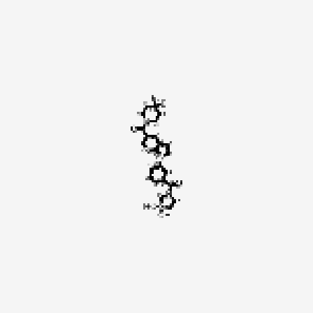 O=C(c1cnc2c(ccn2-c2cccc(C(=O)N3CCS(O)(O)C3)c2)c1)N1CCC(F)(F)CC1